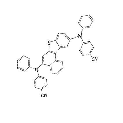 N#Cc1ccc(N(c2ccccc2)c2ccc3sc4cc(N(c5ccccc5)c5ccc(C#N)cc5)c5ccccc5c4c3c2)cc1